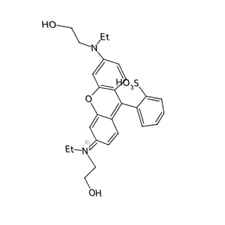 CCN(CCO)c1ccc2c(-c3ccccc3S(=O)(=O)O)c3cc/c(=[N+](/CC)CCO)cc-3oc2c1